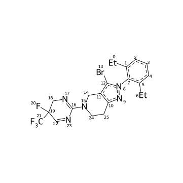 CCc1cccc(CC)c1-n1nc2c(c1Br)CN(C1=NCC(F)(C(F)(F)F)C=N1)CC2